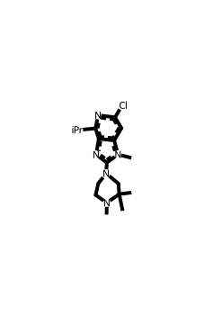 CC(C)c1nc(Cl)cc2c1nc(N1CCN(C)C(C)(C)C1)n2C